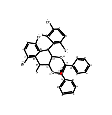 Cc1c(Br)ccc(Br)c1C1c2c(Br)ccc(Br)c2C(C)C(OC(=O)c2ccccc2)C1OC(=O)c1ccccc1